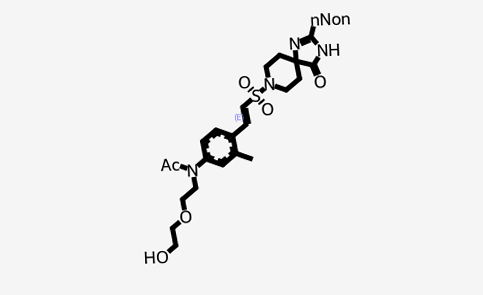 CCCCCCCCCC1=NC2(CCN(S(=O)(=O)/C=C/c3ccc(N(CCOCCO)C(C)=O)cc3C)CC2)C(=O)N1